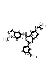 Bn1ncc2cc(Nc3nc(-c4cccc(N)c4)nc4ccc(OC(C)=O)cc34)ccc21